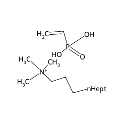 C=CP(=O)(O)O.CCCCCCCCCC[N+](C)(C)C